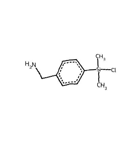 C[Si](C)(Cl)c1ccc(CN)cc1